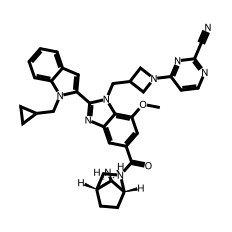 COc1cc(C(=O)N2C[C@H]3CC[C@@H]2[C@@H]3N)cc2nc(-c3cc4ccccc4n3CC3CC3)n(CC3CN(c4ccnc(C#N)n4)C3)c12